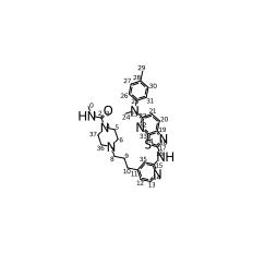 CNC(=O)N1CCN(CCCc2ccnc(Nc3nc4ccc(N(C)c5ccc(C)cc5)nc4s3)c2)CC1